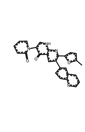 Cc1ccc(-c2nc3[nH]cc(-n4ccccc4=O)c(=O)c3cc2-c2ccc3ncccc3c2)o1